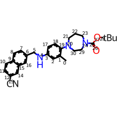 Cc1cc(NCc2ccc3ccc(C#N)cc3c2)ccc1N1CCCN(C(=O)OC(C)(C)C)CC1